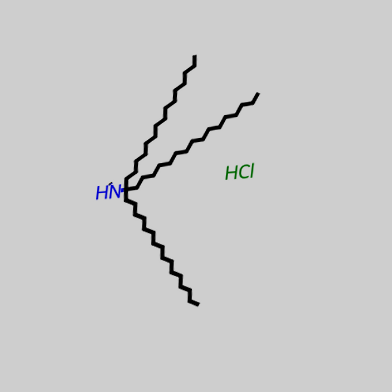 CCCCCCCCCCCCCCCCC(CCCCCCCCCCCCCCC)(CCCCCCCCCCCCCCCC)NC.Cl